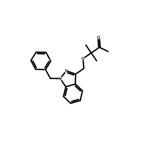 CC(=O)C(C)(C)OCc1nn(Cc2ccccc2)c2ccccc12